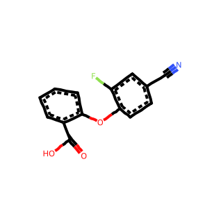 N#Cc1ccc(Oc2ccccc2C(=O)O)c(F)c1